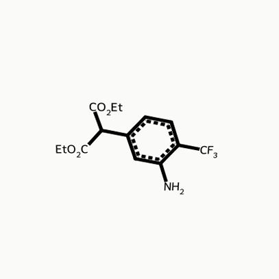 CCOC(=O)C(C(=O)OCC)c1ccc(C(F)(F)F)c(N)c1